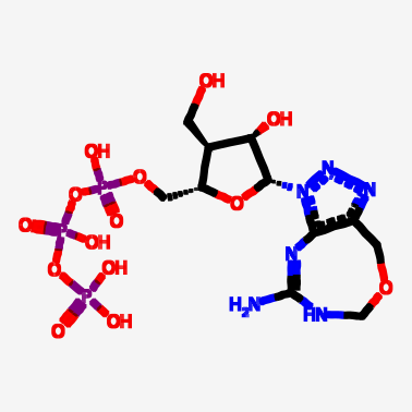 N/C1=N/c2c(nnn2[C@@H]2O[C@H](COP(=O)(O)OP(=O)(O)OP(=O)(O)O)[C@@H](CO)[C@H]2O)COCN1